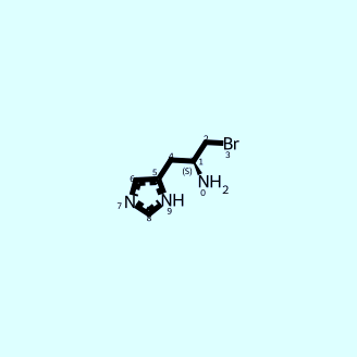 N[C@H](CBr)Cc1cnc[nH]1